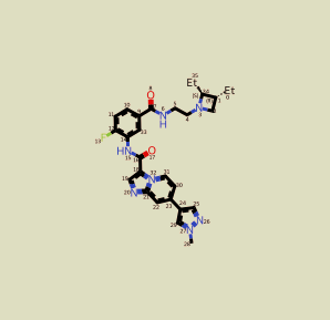 CC[C@@H]1CN(CCNC(=O)c2ccc(F)c(NC(=O)c3cnc4cc(-c5cnn(C)c5)ccn34)c2)[C@H]1CC